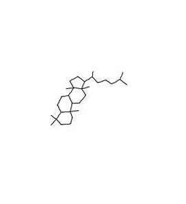 CC(C)CCCC(C)C1CCC2(C)C3CCC4C(C)(C)CCCC4(C)C3CCC12C